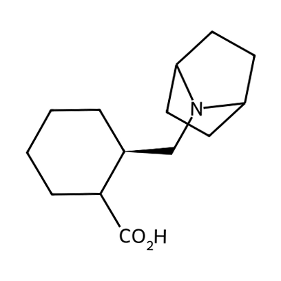 O=C(O)C1CCCC[C@H]1CN1C2CCC1CC2